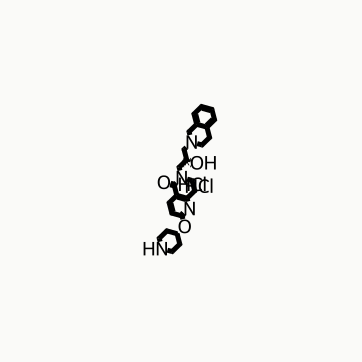 Cl.Cl.O=C1c2ccc(OC3CCNCC3)nc2CCN1C[C@H](O)CN1CCc2ccccc2C1